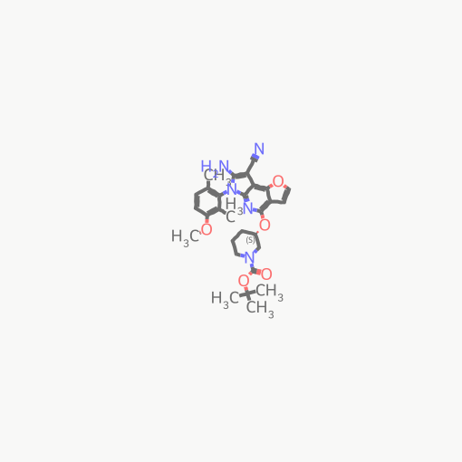 COc1ccc(C)c(-n2c(N)c(C#N)c3c4occc4c(O[C@H]4CCCN(C(=O)OC(C)(C)C)C4)nc32)c1C